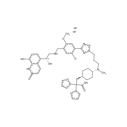 COc1cc(-c2noc(CCCN(C)[C@H]3CC[C@H](OC(C(=O)O)(c4cccs4)c4cccs4)CC3)n2)c(Cl)cc1CNC[C@H](O)c1ccc(O)c2[nH]c(=O)ccc12.F.F